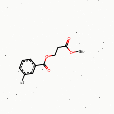 CCc1cccc(C(=O)OCCC(=O)OC(C)(C)C)c1